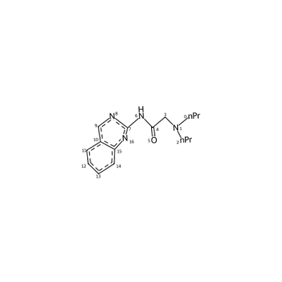 CCCN(CCC)CC(=O)Nc1ncc2ccccc2n1